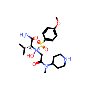 COc1ccc(S(=O)(=O)[N+](O)(CC(=O)N(C)C2CCNCC2)[C@@H](C(N)=O)C(C)C)cc1